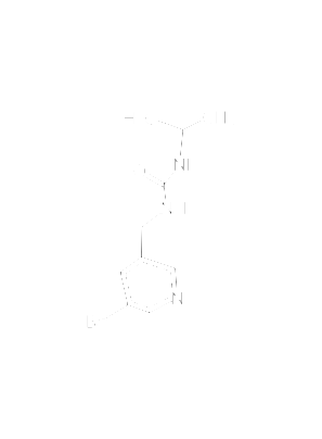 CC(C)NC(=O)NCc1cncc(Br)c1